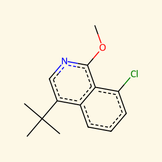 COc1ncc(C(C)(C)C)c2cccc(Cl)c12